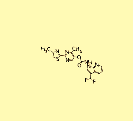 Cc1csc(-c2ncc(OC(=O)Nn3cc(C(F)F)c4cccnc43)c(C)n2)n1